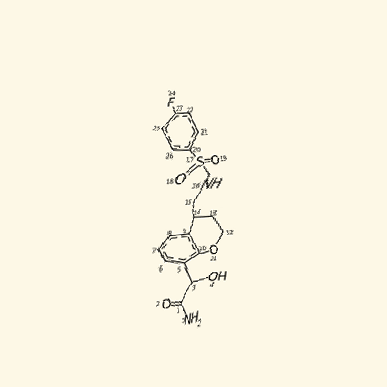 NC(=O)C(O)c1cccc2c1OCCC2CNS(=O)(=O)c1ccc(F)cc1